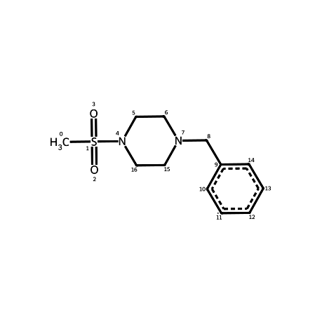 CS(=O)(=O)N1CCN(Cc2c[c]ccc2)CC1